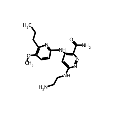 CCCc1nc(Nc2cc(NCCN)nnc2C(N)=O)ccc1OC